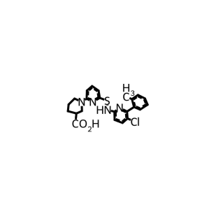 Cc1ccccc1-c1nc(NSc2cccc(N3CCCC(C(=O)O)C3)n2)ccc1Cl